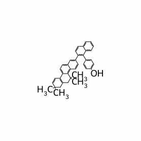 CC1(C)C=CC2=C(C1)CC(C)(C)c1c2ccc2cc(-c3ccc4ccccc4c3-c3ccc(O)cc3)ccc12